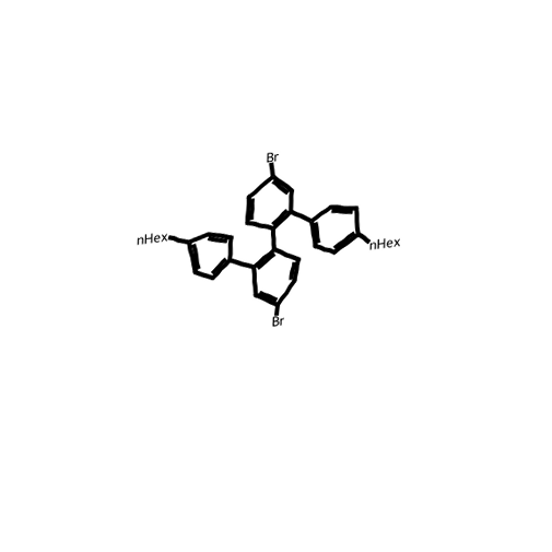 CCCCCCc1ccc(-c2cc(Br)ccc2-c2ccc(Br)cc2-c2ccc(CCCCCC)cc2)cc1